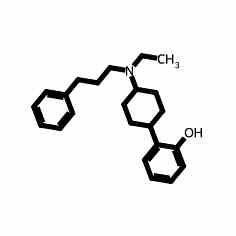 CCN(CCCc1ccccc1)C1CCC(c2ccccc2O)CC1